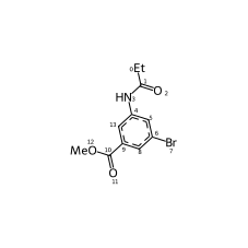 CCC(=O)Nc1cc(Br)cc(C(=O)OC)c1